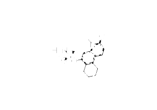 Cn1c(=O)ccc2c3c(c(OS(N)(=O)=O)cc21)CCCC3